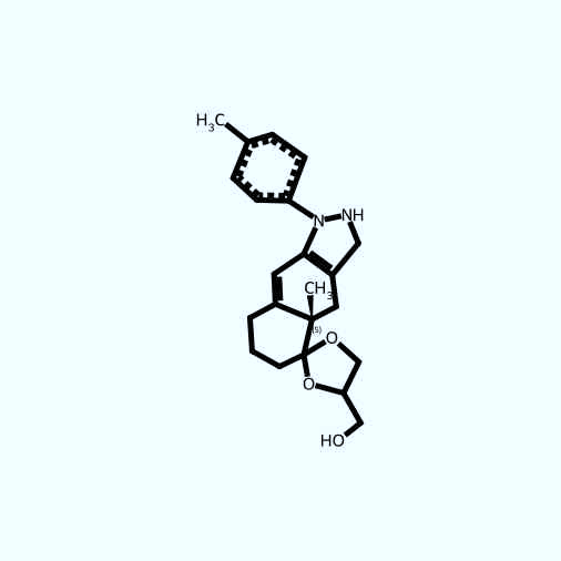 Cc1ccc(N2NCC3=C2C=C2CCCC4(OCC(CO)O4)[C@@]2(C)C3)cc1